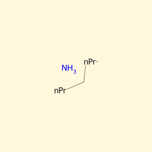 CC[CH]CCCC.N